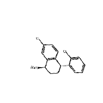 CN[C@@H]1CC[C@@H](c2ccccc2Cl)c2ccc(Cl)cc21